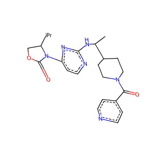 CC(C)C1COC(=O)N1c1ccnc(NC(C)C2CCN(C(=O)c3ccncc3)CC2)n1